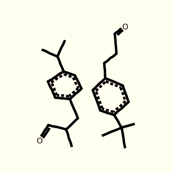 CC(C)(C)c1ccc(CCC=O)cc1.CC(C=O)Cc1ccc(C(C)C)cc1